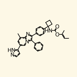 C/C=C(\C)OC(=O)NC1(c2ccc(-c3nc4c(C)cc(-c5ccn[nH]5)cn4c3-c3ccccc3)cc2)CCC1